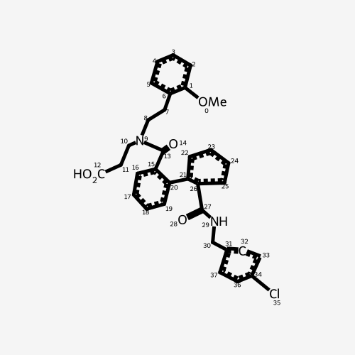 COc1ccccc1CCN(CCC(=O)O)C(=O)c1ccccc1-c1ccccc1C(=O)NCc1ccc(Cl)cc1